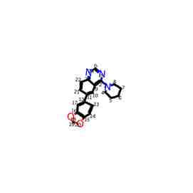 c1nc(N2CCCCC2)c2cc(-c3ccc4c(c3)OCO4)ccc2n1